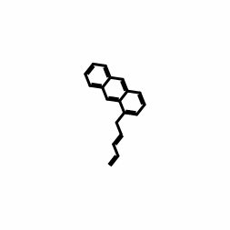 C=CC=CCc1cccc2cc3ccccc3cc12